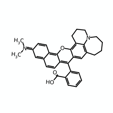 C[N+](C)=c1ccc2c(ccc3c(-c4ccccc4C(=O)O)c4cc5c6c(c4oc32)CCCN6CCCC5)c1